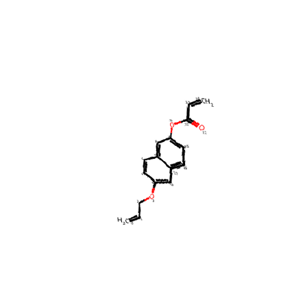 C=CCOc1ccc2cc(OC(=O)C=C)ccc2c1